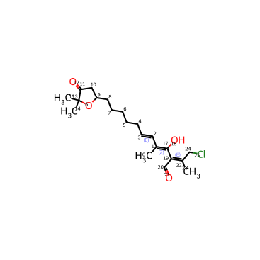 CC(/C=C/CCCCCC1CC(=O)C(C)(C)O1)=C(O)\C(C=O)=C(\C)CCl